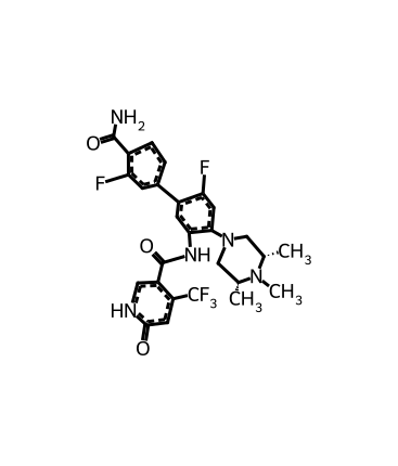 C[C@@H]1CN(c2cc(F)c(-c3ccc(C(N)=O)c(F)c3)cc2NC(=O)c2c[nH]c(=O)cc2C(F)(F)F)C[C@H](C)N1C